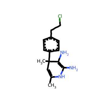 CC1=CC(C)(c2ccc(CCCl)cc2)C(N)=C(N)N1